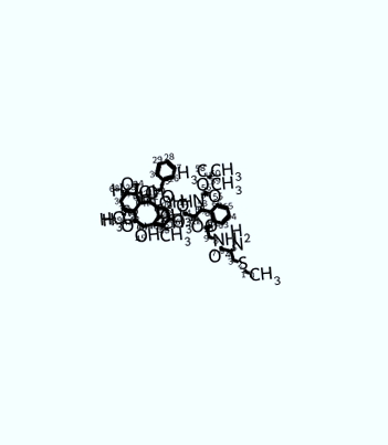 CCSCC(N)C(=O)NCC(=O)O[C@@H](C(=O)O[C@H]1C[C@@]2(O)[C@@H](OC(=O)c3ccccc3)[C@@H]3[C@]4(O)CO[C@@H]4C[C@H](O)[C@@]3(C)C(=O)[C@H](O)C(=C1C)C2(C)C)[C@@H](NC(=O)OC(C)(C)C)c1ccccc1